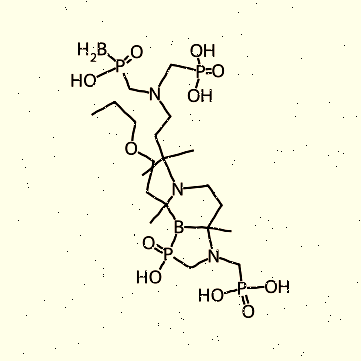 BP(=O)(O)CN(CCC(C)(C)N1CCC2(C)B(C1(C)CCOCCC)P(=O)(O)CN2CP(=O)(O)O)CP(=O)(O)O